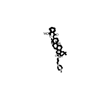 CN1CCN(CCCNC(=O)[C@]23CCC(C)(C)CC2=C2CC[C@@H]4[C@@]5(C)CCC(CC(=O)c6ccccc6C(=O)O)C(C)(C)[C@@H]5CC[C@@]4(C)[C@]2(C)CC3)CC1